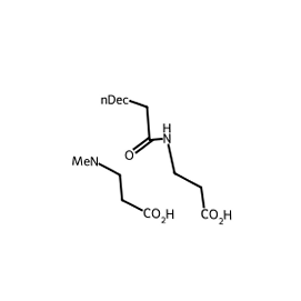 CCCCCCCCCCCC(=O)NCCC(=O)O.CNCCC(=O)O